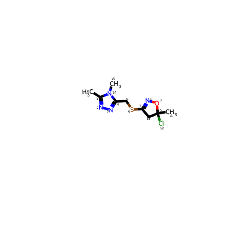 Cc1nnc(CSC2=NOC(C)(Cl)C2)n1C